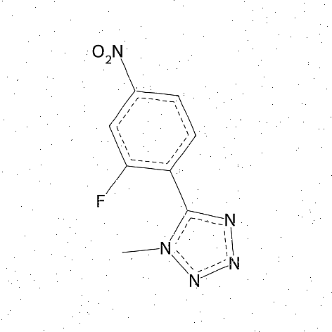 Cn1nnnc1-c1ccc([N+](=O)[O-])cc1F